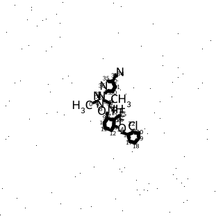 Cc1nc([C@H](C)NC(=O)c2cccc(OCc3ccccc3Cl)c2C(F)(F)F)n(-c2ccc(C#N)cn2)n1